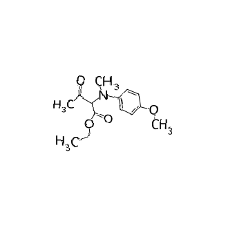 CCOC(=O)C(C(C)=O)N(C)c1ccc(OC)cc1